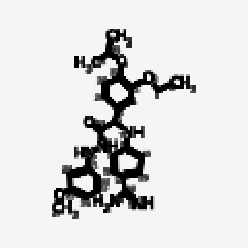 CCOc1cc(C(Nc2ccc(C(=N)N)cc2)C(=O)NNc2cccc(OC)c2)ccc1OC(C)C